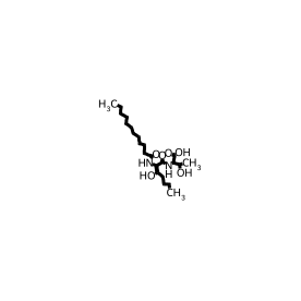 CCCCCCCCCCCC(=O)NC(C(=O)NC(C(=O)O)C(C)O)=C(O)CCCC